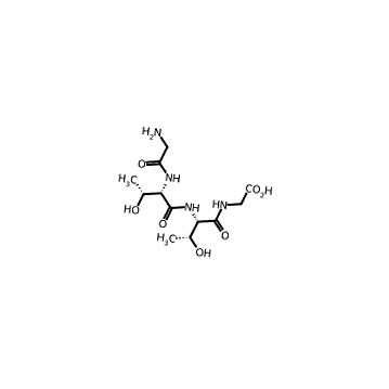 C[C@@H](O)[C@H](NC(=O)CN)C(=O)N[C@H](C(=O)NCC(=O)O)[C@@H](C)O